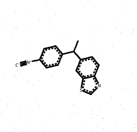 [C-]#[N+]c1ccc(C(C)c2ccc3ncsc3c2)cc1